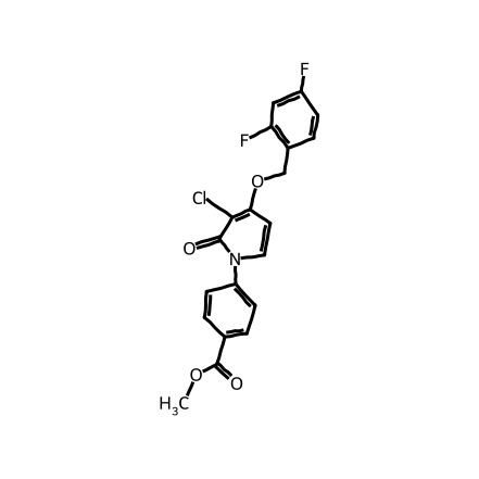 COC(=O)c1ccc(-n2ccc(OCc3ccc(F)cc3F)c(Cl)c2=O)cc1